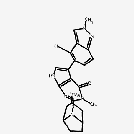 CNC1CC2CCC(C1)N2c1nc2[nH]cc(-c3ccc4nn(C)cc4c3Cl)c2c(=O)n1C